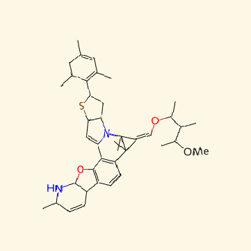 COC(C)C(C)C(C)O/C=C1/C2(C)c3ccc4c(c3C3=CC5SC(C6=C(C)C=C(C)CC6C)CC5N3C12C)OC1NC(C)C=CC41